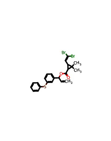 C=CC(OC(=O)C1C(C=C(Br)Br)C1(C)C)c1cccc(Sc2ccccc2)c1